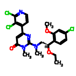 CCO[C@H](CN(C)c1nc(-c2ccnc(Cl)c2Cl)cc(=O)n1C)c1ccc(Cl)cc1OC